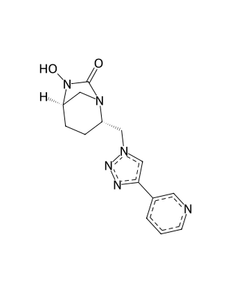 O=C1N(O)[C@@H]2CC[C@@H](Cn3cc(-c4cccnc4)nn3)N1C2